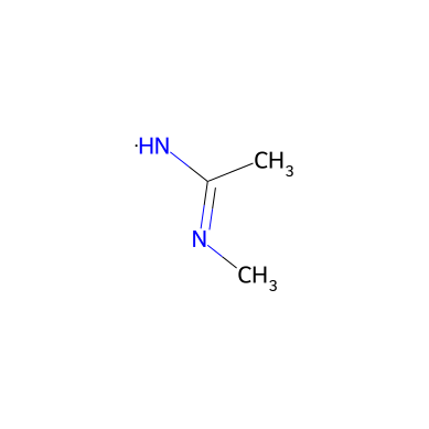 C/N=C(\C)[NH]